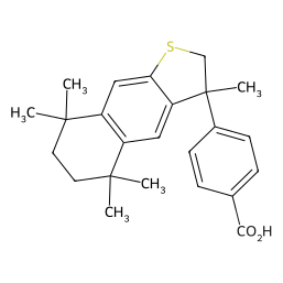 CC1(C)CCC(C)(C)c2cc3c(cc21)SCC3(C)c1ccc(C(=O)O)cc1